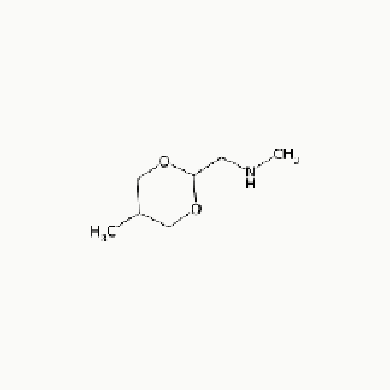 CNCC1OCC(C)CO1